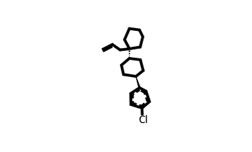 C=CCC1([C@H]2CC[C@H](c3ccc(Cl)cc3)CC2)CCCCC1